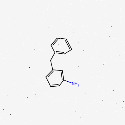 Nc1cccc(Cc2cc[c]cc2)c1